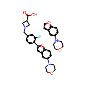 O=C(O)C1CN(Cc2ccc(-c3cc4cc(N5CCOCC5)ccc4o3)c(F)c2)C1.c1cc2cc(N3CCOCC3)ccc2o1